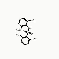 COc1cccc([N+](=O)[O-])c1NS(=O)(=O)c1c(C)cccc1O